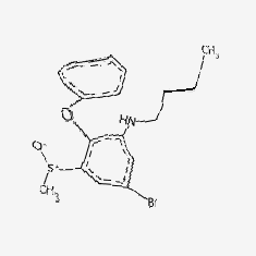 CCCCNc1cc(Br)cc([S+](C)[O-])c1Oc1ccccc1